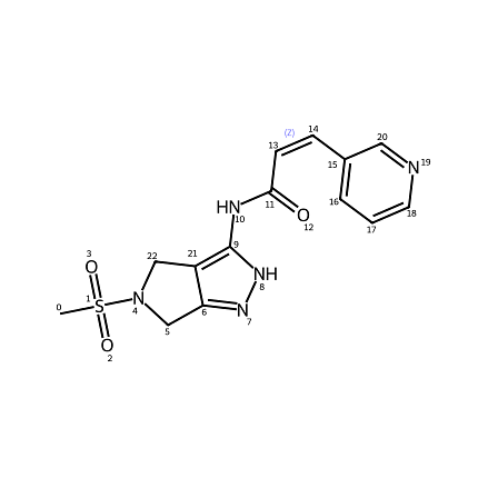 CS(=O)(=O)N1Cc2n[nH]c(NC(=O)/C=C\c3cccnc3)c2C1